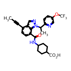 CC#Cc1ccc(C(=O)NC2CCC(C(=O)O)CC2)c2c1cnn2C(C)c1ccc(OC(F)(F)F)cn1